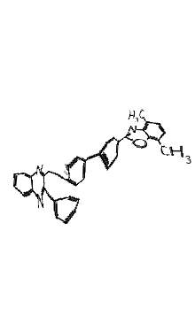 Cc1ccc(C)c2oc(-c3ccc(-c4ccc(-c5nc6ccccc6nc5-c5ccccc5)cc4)cc3)nc12